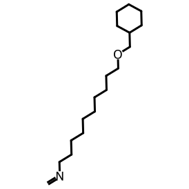 C=NCCCCCCCCCCOCC1CCCCC1